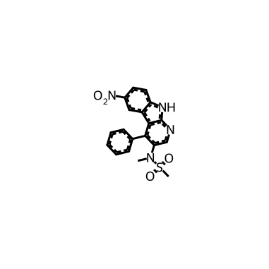 CN(c1cnc2[nH]c3ccc([N+](=O)[O-])cc3c2c1-c1ccccc1)S(C)(=O)=O